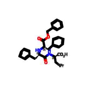 CC(C)C[C@H](NC(=O)[C@H](Cc1ccccc1)N[C@@H](Cc1ccccc1)C(=O)OCc1ccccc1)C(=O)O